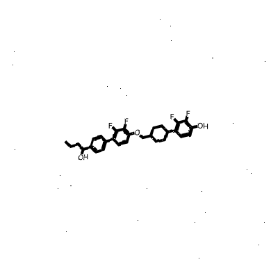 CCCC(O)c1ccc(-c2ccc(OCC3CCC(c4ccc(O)c(F)c4F)CC3)c(F)c2F)cc1